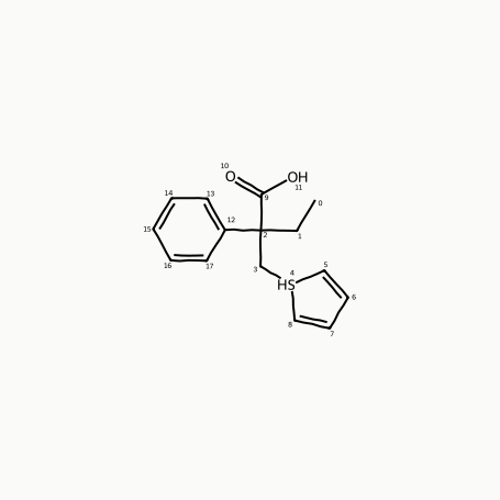 CCC(C[SH]1C=CC=C1)(C(=O)O)c1ccccc1